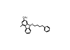 CC(=O)Oc1cc(C)c2c3ccccc3n(SCCCCc3ccccc3)c2c1